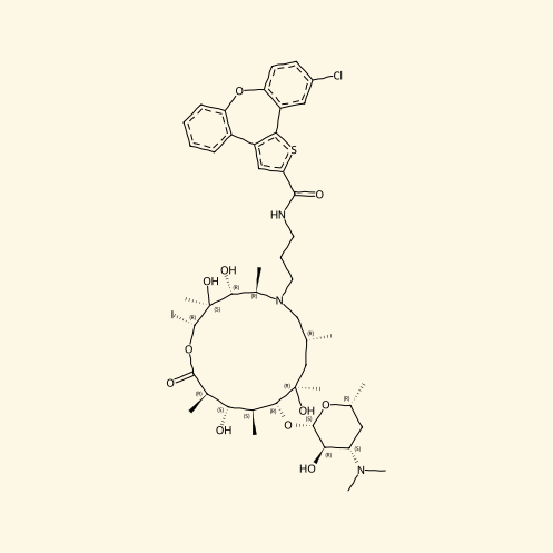 C[C@H]1CN(CCCNC(=O)c2cc3c(s2)-c2cc(Cl)ccc2Oc2ccccc2-3)[C@H](C)[C@@H](O)[C@](C)(O)[C@@H](I)OC(=O)[C@H](C)[C@@H](O)[C@H](C)[C@@H](O[C@@H]2O[C@H](C)C[C@H](N(C)C)[C@H]2O)[C@](C)(O)C1